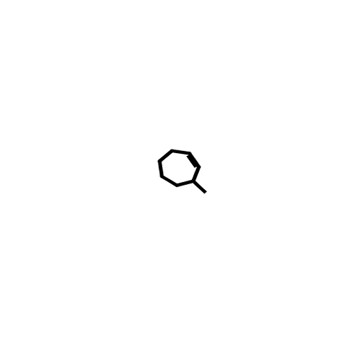 CC1C=CCCCC1